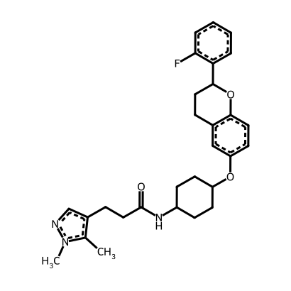 Cc1c(CCC(=O)NC2CCC(Oc3ccc4c(c3)CCC(c3ccccc3F)O4)CC2)cnn1C